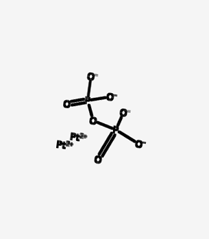 O=P([O-])([O-])OP(=O)([O-])[O-].[Pt+2].[Pt+2]